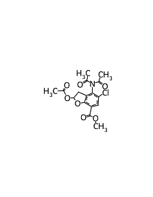 COC(=O)c1cc(Cl)c(N(C(C)=O)C(C)=O)c2c1OC(OC(C)=O)C2